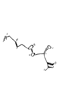 C=C(C)C(=O)OOCCC(C)C